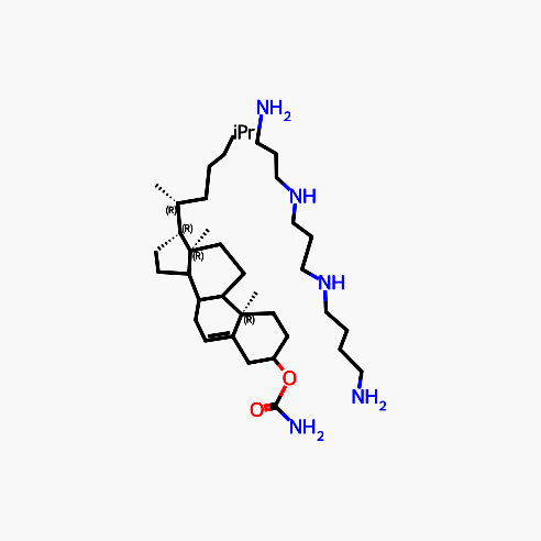 CC(C)CCC[C@@H](C)[C@H]1CCC2C3CC=C4CC(OC(N)=O)CC[C@]4(C)C3CC[C@@]21C.NCCCCNCCCNCCCN